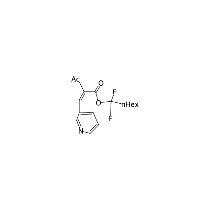 CCCCCCC(F)(F)OC(=O)C(=Cc1cccnc1)C(C)=O